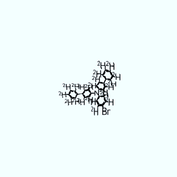 [2H]c1c([2H])c([2H])c(-c2c([2H])c([2H])c(N(c3c([2H])c([2H])c(Br)c([2H])c3[2H])c3c([2H])c([2H])c(-c4c([2H])c([2H])c([2H])c([2H])c4[2H])c([2H])c3[2H])c([2H])c2[2H])c([2H])c1[2H]